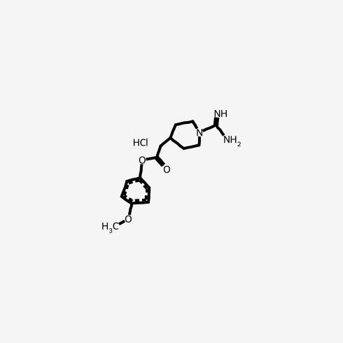 COc1ccc(OC(=O)CC2CCN(C(=N)N)CC2)cc1.Cl